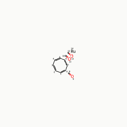 C1=C\C=C/C=C\C=C/1.C=O.C=O.C=O.[Ru]